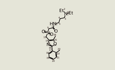 CCN(CC)CCCNC(=O)CS(=O)(=O)Cc1nc(-c2ccccc2C)oc1C